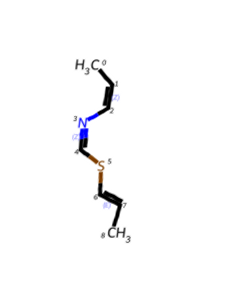 C/C=C\N=C/S/C=C/C